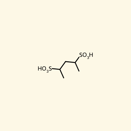 CC(CC(C)S(=O)(=O)O)S(=O)(=O)O